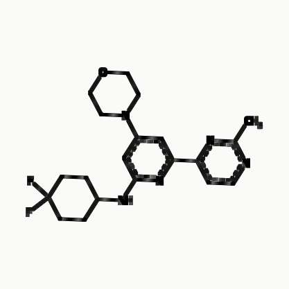 Cc1nccc(-c2cc(N3CCOCC3)cc(NC3CCC(F)(F)CC3)n2)n1